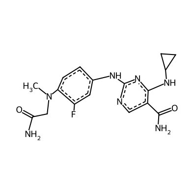 CN(CC(N)=O)c1ccc(Nc2ncc(C(N)=O)c(NC3CC3)n2)cc1F